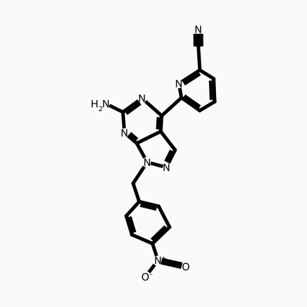 N#Cc1cccc(-c2nc(N)nc3c2cnn3Cc2ccc([N+](=O)[O-])cc2)n1